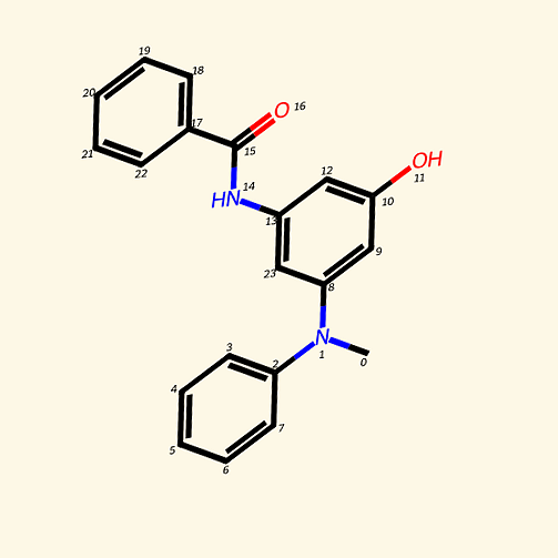 CN(c1ccccc1)c1cc(O)cc(NC(=O)c2ccccc2)c1